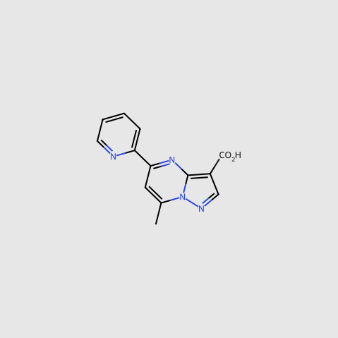 Cc1cc(-c2ccccn2)nc2c(C(=O)O)cnn12